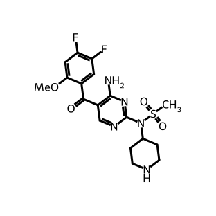 COc1cc(F)c(F)cc1C(=O)c1cnc(N(C2CCNCC2)S(C)(=O)=O)nc1N